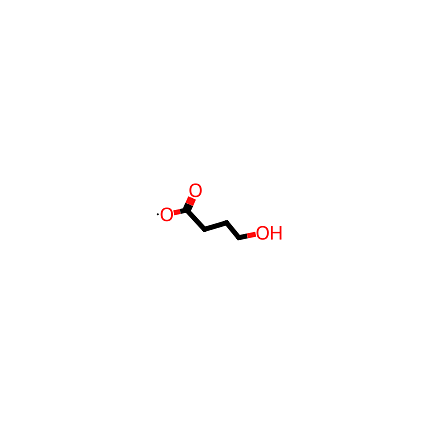 [O]C(=O)CCCO